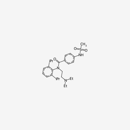 CCN(CC)CCN(C(=O)c1ccc(NS(C)(=O)=O)cc1)c1c(C(C)C)cccc1C(C)C